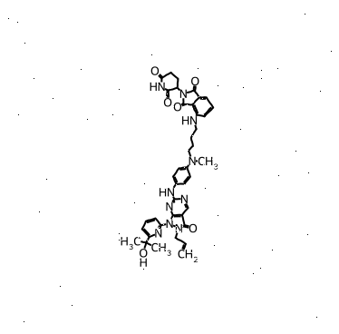 C=CCn1c(=O)c2cnc(Nc3ccc(N(C)CCCCNc4cccc5c4C(=O)N(C4CCC(=O)NC4=O)C5=O)cc3)nc2n1-c1cccc(C(C)(C)O)n1